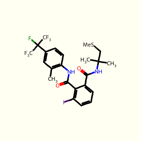 CSCC(C)(C)NC(=O)c1cccc(I)c1C(=O)Nc1ccc(C(F)(C(F)(F)F)C(F)(F)F)cc1C